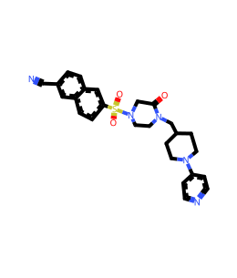 N#Cc1ccc2cc(S(=O)(=O)N3CCN(CC4CCN(c5ccncc5)CC4)C(=O)C3)ccc2c1